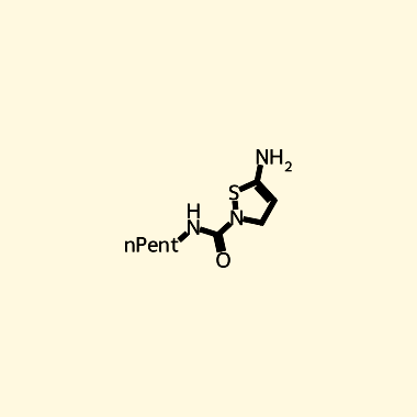 CCCCCNC(=O)N1CC=C(N)S1